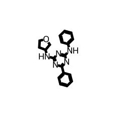 c1ccc(Nc2nc(NC3CCOC3)nc(-c3ccccc3)n2)cc1